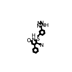 N#Cc1c(-c2ccccc2)cc(=O)[nH]c1SCc1cccc(-c2nnn[nH]2)c1